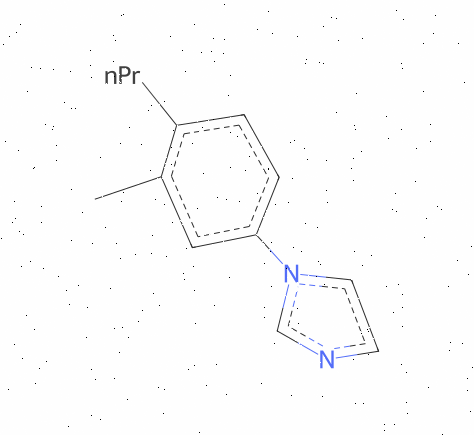 CCCc1ccc(-n2ccnc2)cc1C